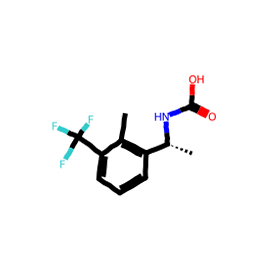 Cc1c([C@@H](C)NC(=O)O)cccc1C(F)(F)F